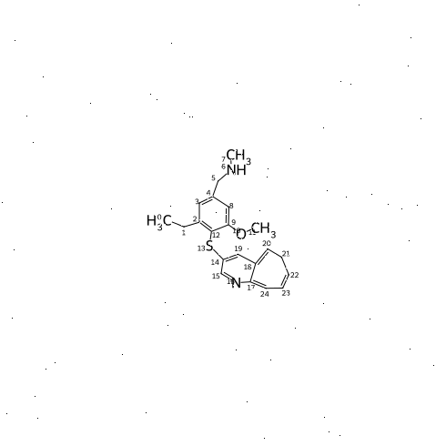 CCc1cc(CNC)cc(OC)c1Sc1cnc2c(c1)=CCC=CC=2